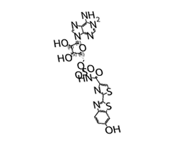 Nc1ncnc2c1ncn2[C@@H]1O[C@H](COS(=O)(=O)NC(=O)c2csc(-c3nc4ccc(O)cc4s3)n2)[C@@H](O)[C@H]1O